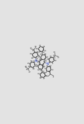 CC(C)c1ccc(N(c2ccc(C(C)C)cc2)c2c3ccc(-c4ccccc4)cc3c(N(c3ccc(C(C)C)cc3)c3ccc(C(C)C)cc3)c3ccc(-c4ccccc4)cc23)cc1